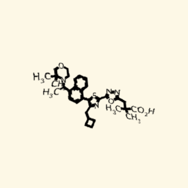 C[C@H](c1ccc(-c2sc(-c3nnc(CC(C)(C)C(=O)O)o3)nc2CC2CCC2)c2ccccc12)N1CCOCC1(C)C